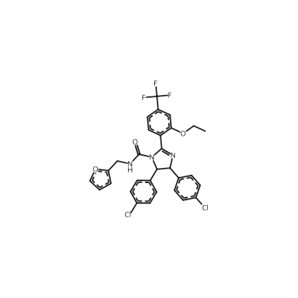 CCOc1cc(C(F)(F)F)ccc1C1=NC(c2ccc(Cl)cc2)C(c2ccc(Cl)cc2)N1C(=O)NCc1ccco1